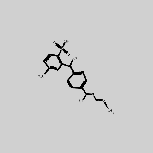 COCOC(C)c1ccc(C(C)c2cc(C)ccc2S(=O)(=O)O)cc1